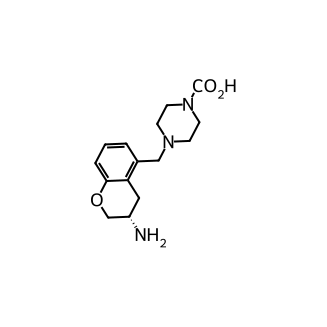 N[C@@H]1COc2cccc(CN3CCN(C(=O)O)CC3)c2C1